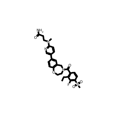 CCc1c(C(=O)N2CCOc3ccc(-c4ccc(N(C)CCC(N)=O)nc4)cc3C2)ccc(S(C)(=O)=O)c1F